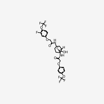 O=C(COc1ccc(OC(F)(F)F)c(F)c1)NC12CCC(NC(=O)COc3ccc(OC(F)(F)F)cc3)(CC1)[C@@H](O)C2